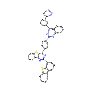 c1cncc(-c2cccc(-c3nc(-c4ccc(-c5nc(-c6cccc7c6sc6ccccc67)nc6c5sc5ccccc56)cc4)nc4ccccc34)c2)c1